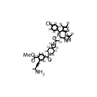 COC(=O)c1ccc(C(=O)N2CCC3(CC2)CN(C(=O)C[C@@H]2N=C(c4ccc(Cl)cc4)c4c(sc(C)c4C)-n4c(C)nnc42)C3)cc1C#CCN